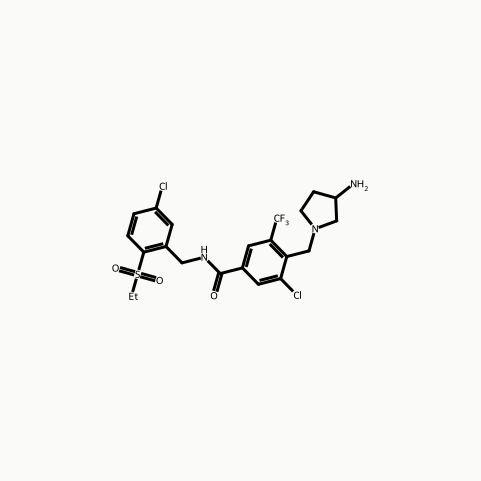 CCS(=O)(=O)c1ccc(Cl)cc1CNC(=O)c1cc(Cl)c(CN2CCC(N)C2)c(C(F)(F)F)c1